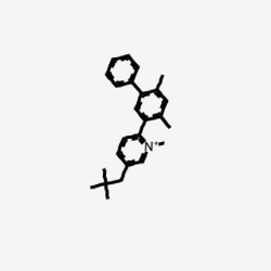 Cc1cc(C)c(-c2ccc(CC(C)(C)C)c[n+]2C)cc1-c1ccccc1